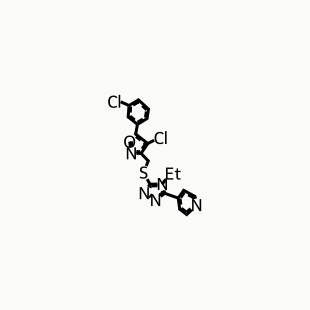 CCn1c(SCc2noc(-c3cccc(Cl)c3)c2Cl)nnc1-c1ccncc1